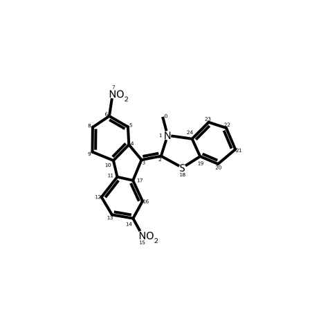 CN1C(=C2c3cc([N+](=O)[O-])ccc3-c3ccc([N+](=O)[O-])cc32)Sc2ccccc21